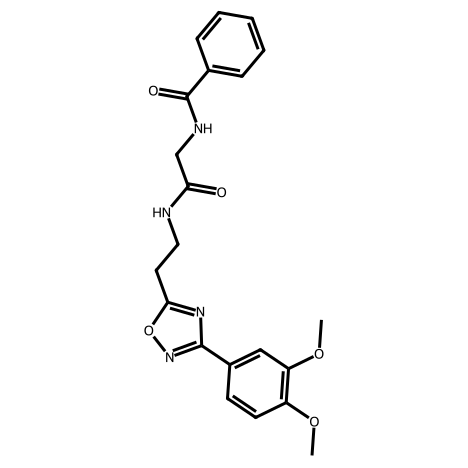 COc1ccc(-c2noc(CCNC(=O)CNC(=O)c3ccccc3)n2)cc1OC